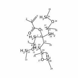 C=C(C)C(=O)OC([SiH2][Si](C)(C)O[SiH2]C)([SiH2][Si](C)(C)O[SiH2]C)C(C)[SiH2][Si](C)(C)O[SiH2]C